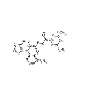 Cc1cccc(C2c3ccsc3CCN2C(=O)CCC(=O)N2CC(C)CC(C)C2)c1